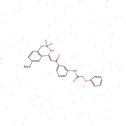 COc1ccc2c(c1)C(=CC(=O)c1cccc(NC(=O)COc3ccccc3)c1)NC(C)(C)C2